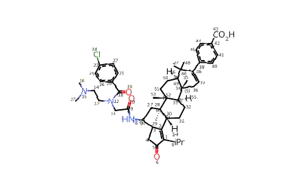 CC(C)C1=C2C(CC1=O)[C@@H](NC(=O)CN(CCN(C)C)C(=O)c1ccc(Cl)cc1)C[C@]1(C)[C@@H]2CC[C@@H]2[C@@]3(C)CC=C(c4ccc(C(=O)O)cc4)C(C)(C)[C@@H]3CC[C@]21C